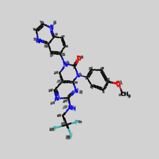 COc1ccc(N2C(=O)N(c3ccc4nccnc4c3)Cc3cnc(NCC(F)(F)F)nc32)cc1